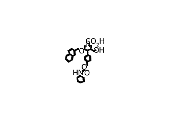 O=C(Nc1ccccc1)OCc1ccc(C2C(CO)CN(C(=O)O)CC2OCc2ccc3ccccc3c2)cc1